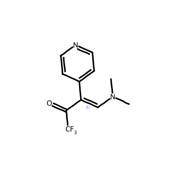 CN(C)/C=C(/C(=O)C(F)(F)F)c1ccncc1